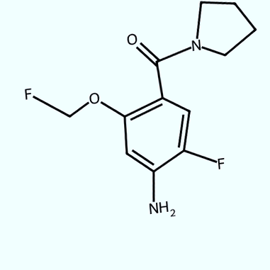 Nc1cc(OCF)c(C(=O)N2CCCC2)cc1F